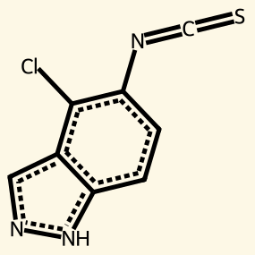 S=C=Nc1ccc2[nH]ncc2c1Cl